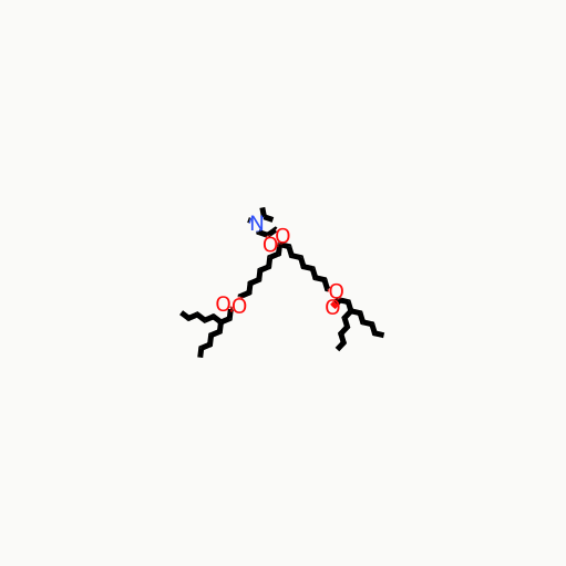 CCCCCC(CCCCC)CC(=O)OCCCCCCCCC1(CCCCCCCCOC(=O)CC(CCCCC)CCCCC)OCC(CN(C)C(C)C)O1